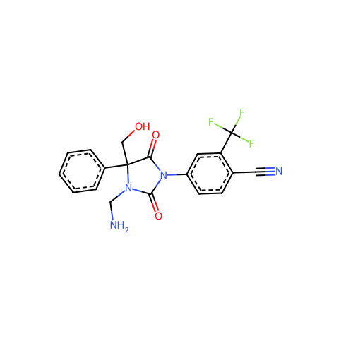 N#Cc1ccc(N2C(=O)N(CN)C(CO)(c3ccccc3)C2=O)cc1C(F)(F)F